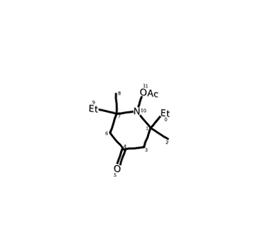 CCC1(C)CC(=O)CC(C)(CC)N1OC(C)=O